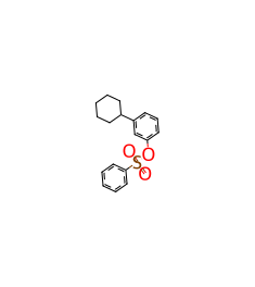 O=S(=O)(Oc1cccc(C2CCCCC2)c1)c1ccccc1